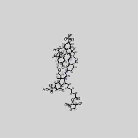 CCCC[N+]1=C(/C=C/C2=C(Oc3ccc(S(=O)(=O)O)cc3)C(=C/C=C3/N(CCCCCC(=O)ON4C(=O)CCC4=O)c4c(C)cc(S(=O)(=O)O)cc4C3(C)CCOC)/CCC2)C(C)(CCOC)c2cc(S(=O)(=O)[O-])cc(C)c21